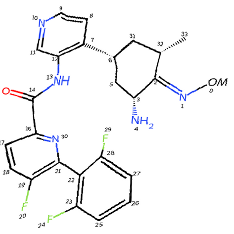 CO/N=C1/[C@H](N)C[C@H](c2ccncc2NC(=O)c2ccc(F)c(-c3c(F)cccc3F)n2)C[C@@H]1C